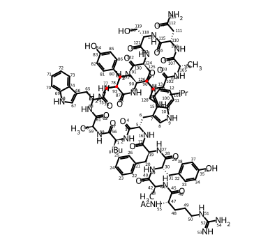 CC[C@H](C)[C@H](NC(=O)[C@H](Cc1c[nH]c2ccccc12)NC(=O)[C@H](Cc1ccccc1)NC(=O)[C@H](Cc1ccc(O)cc1)NC(=O)[C@H](C)NC(=O)[C@H](CCCNC(=N)N)NC(C)=O)C(=O)N[C@@H](C)C(=O)N[C@@H](Cc1c[nH]c2ccccc12)C(=O)N[C@@H](Cc1ccc(O)cc1)C(=O)N[C@@H](CCCCN)C(=O)N[C@@H](CC(C)C)C(=O)N[C@@H](C)C(=O)N[C@@H](CC(N)=O)C(=O)N[C@@H](CO)C(=O)N[C@@H](CCCCN)C(N)=O